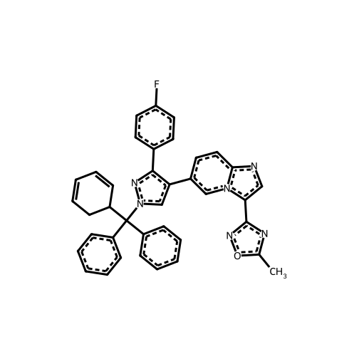 Cc1nc(-c2cnc3ccc(-c4cn(C(c5ccccc5)(c5ccccc5)C5C=CC=CC5)nc4-c4ccc(F)cc4)cn23)no1